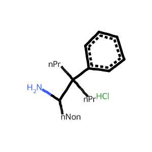 CCCCCCCCCC(N)C(CCC)(CCC)c1ccccc1.Cl